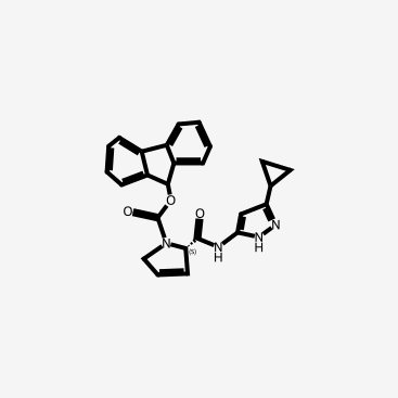 O=C(Nc1cc(C2CC2)n[nH]1)[C@@H]1C=CCN1C(=O)OC1c2ccccc2-c2ccccc21